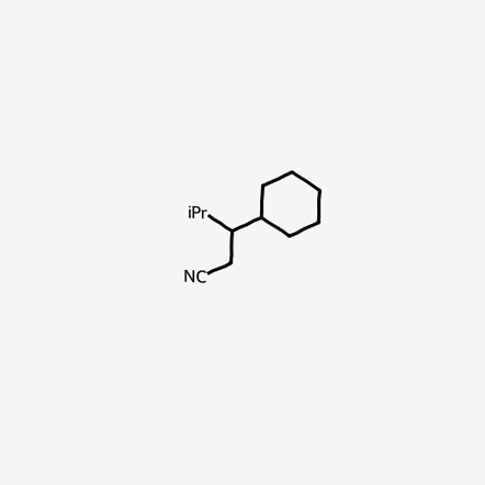 CC(C)C(CC#N)C1CCCCC1